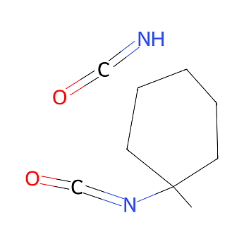 CC1(N=C=O)CCCCC1.N=C=O